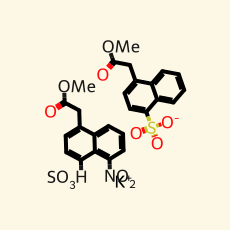 COC(=O)Cc1ccc(S(=O)(=O)O)c2c([N+](=O)[O-])cccc12.COC(=O)Cc1ccc(S(=O)(=O)[O-])c2ccccc12.[K+]